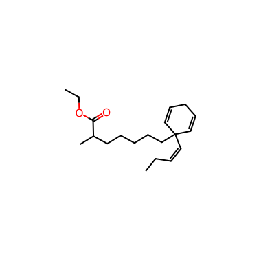 CC/C=C\C1(CCCCCC(C)C(=O)OCC)C=CCC=C1